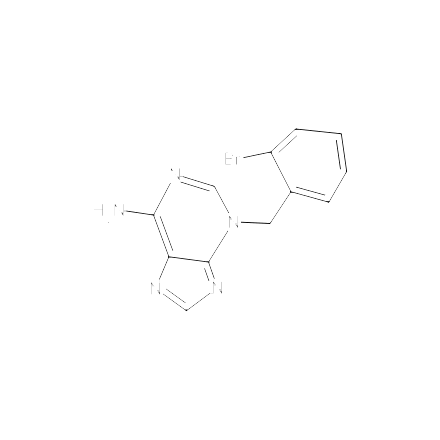 Nc1ncn(Cc2ccccc2Br)c2ncnc1-2